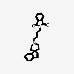 O=C1c2ccccc2C(=O)N1CCCCN1CCC2(C=Cc3ccccc32)CC1